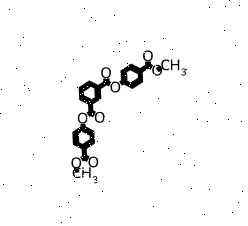 COC(=O)c1ccc(OC(=O)c2cccc(C(=O)Oc3ccc(C(=O)OC)cc3)c2)cc1